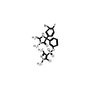 Cc1nn(C)c(Cl)c1S(=O)(=O)Oc1cccc(C2(c3ccc(F)c(Br)c3)NC(N)N(C)C2=O)c1